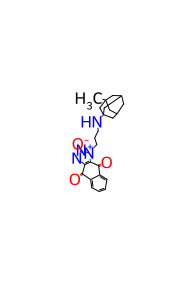 CC12CC3CC(C1)CC(NCCCn1c4c(n[n+]1[O-])C(=O)c1ccccc1C4=O)(C3)C2